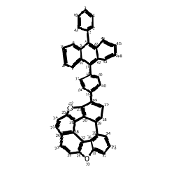 c1ccc(-c2c3ccccc3c(-c3ccc(-c4ccc5c6c4oc4ccc7ccc8oc9cccc-5c9c8c7c46)cc3)c3ccccc23)cc1